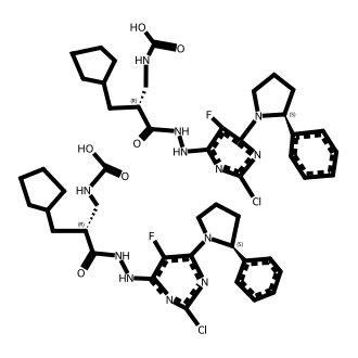 O=C(O)NC[C@@H](CC1CCCC1)C(=O)NNc1nc(Cl)nc(N2CCC[C@H]2c2ccccc2)c1F.O=C(O)NC[C@@H](CC1CCCC1)C(=O)NNc1nc(Cl)nc(N2CCC[C@H]2c2ccccc2)c1F